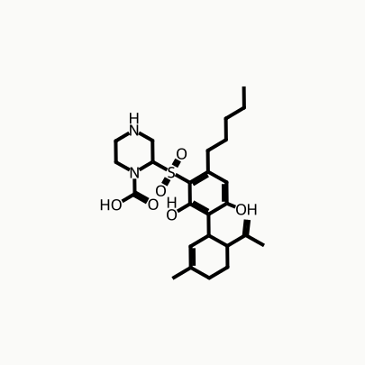 C=C(C)C1CCC(C)=CC1c1c(O)cc(CCCCC)c(S(=O)(=O)C2CNCCN2C(=O)O)c1O